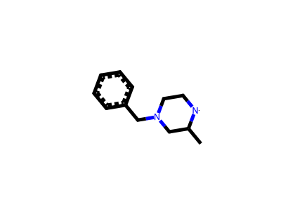 CC1CN(Cc2ccccc2)CC[N]1